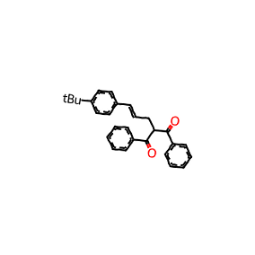 CC(C)(C)c1ccc(C=CCC(C(=O)c2ccccc2)C(=O)c2ccccc2)cc1